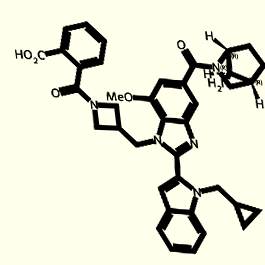 COc1cc(C(=O)N2C[C@H]3CC[C@@H]2[C@@H]3N)cc2nc(-c3cc4ccccc4n3CC3CC3)n(CC3CN(C(=O)c4ccccc4C(=O)O)C3)c12